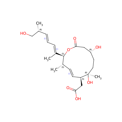 C/C(=C\C=C\[C@@H](C)CO)[C@H]1OC(=O)C[C@H](O)CC[C@@](C)(O)[C@@H](CC(=O)O)/C=C/[C@@H]1C